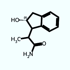 CC(C(N)=O)C1c2ccccc2C[C@H]1O